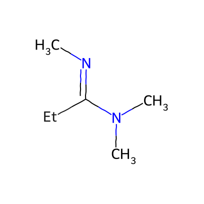 CC/C(=N\C)N(C)C